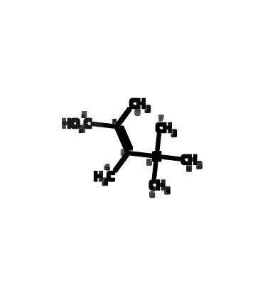 C/C(C(=O)O)=C(/C)[Si](C)(C)C